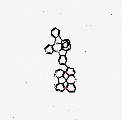 c1ccc2c(c1)Sc1ccc(-c3ccc4c(c3)c3ccccc3n4-c3cnccc3-n3c4ccccc4c4ccccc43)cc1C21c2cccnc2-c2ncccc21